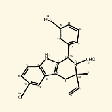 C=C[C@]1(C)Cc2c([nH]c3ccc(Cl)cc23)[C@@H](c2cccc(O)c2)N1C=O